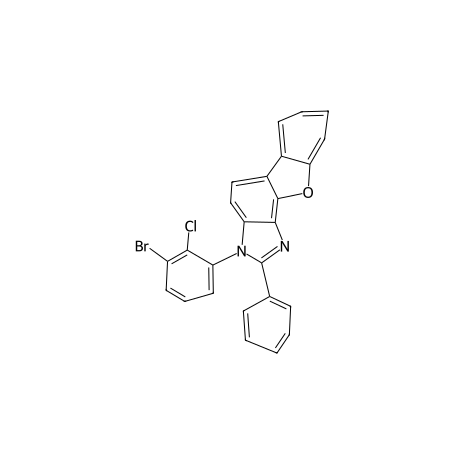 Clc1c(Br)cccc1-n1c(-c2ccccc2)nc2c3oc4ccccc4c3ccc21